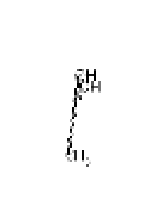 CCCCCCCCCCC[CH]SCC(O)CO